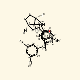 CCCn1nc(N[C@@H]2[C@@H]3CC[C@H]2CN(c2cc(C)ncn2)C3)nc1Oc1cc(F)cc(Cl)c1